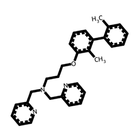 Cc1ccccc1-c1cccc(OCCCN(Cc2ccccn2)Cc2ccccn2)c1C